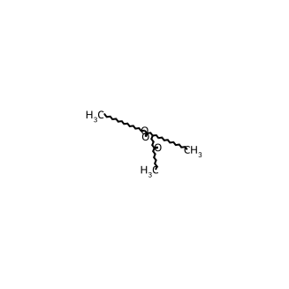 CCCCCCCCCCCCCCCOC(=O)CC(CCCCCCCCCCCC)CCCC(=O)CCCCCCC